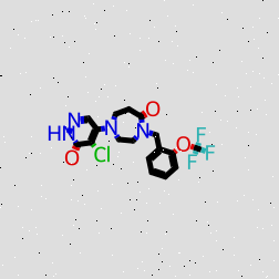 O=C1CCN(c2cn[nH]c(=O)c2Cl)CCN1Cc1ccccc1OC(F)(F)F